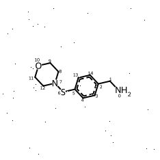 NCc1ccc(SN2CCOCC2)cc1